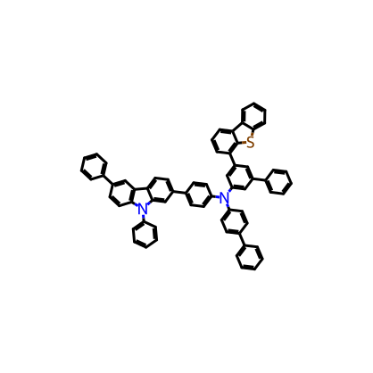 c1ccc(-c2ccc(N(c3ccc(-c4ccc5c6cc(-c7ccccc7)ccc6n(-c6ccccc6)c5c4)cc3)c3cc(-c4ccccc4)cc(-c4cccc5c4sc4ccccc45)c3)cc2)cc1